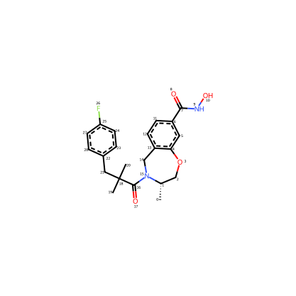 C[C@H]1COc2cc(C(=O)NO)ccc2CN1C(=O)C(C)(C)Cc1ccc(F)cc1